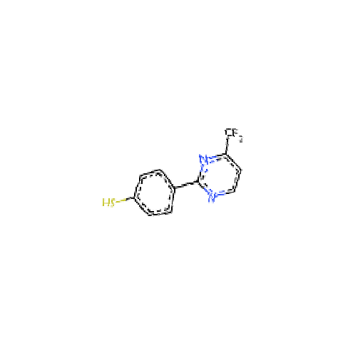 FC(F)(F)c1ccnc(-c2ccc(S)cc2)n1